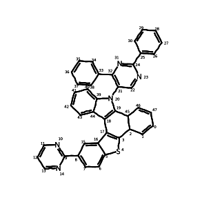 C1=CC2c3sc4ccc(-c5ncccn5)cc4c3-c3c(n(-c4cnc(-c5ccccc5)nc4-c4ccccc4)c4ccccc34)C2C=C1